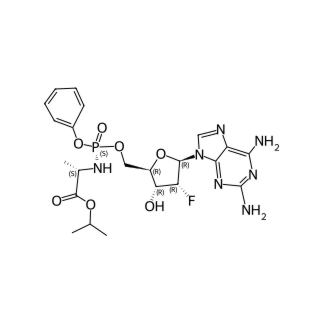 CC(C)OC(=O)[C@H](C)N[P@](=O)(OC[C@H]1O[C@@H](n2cnc3c(N)nc(N)nc32)[C@H](F)[C@@H]1O)Oc1ccccc1